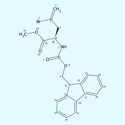 C=C(Br)C[C@@H](NC(=O)OCC1c2ccccc2-c2ccccc21)C(=O)OC